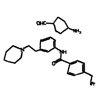 CC(C)Cc1ccc(C(=O)Nc2cccc(CCN3CCCCC3)c2)cc1.NC1CCC(C=O)CC1